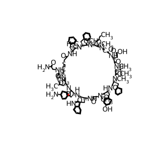 CCCC[C@H]1C(=O)N(C)CC(=O)N[C@@H](CC(=O)O)C(=O)N[C@@H](C(C)C)C(=O)N(C)[C@@H](Cc2ccccc2)C(=O)N[C@@H](Cc2ccc(O)cc2)C(=O)N(C)CC(=O)N[C@@H](Cc2c[nH]c3ccccc23)C(=O)N[C@@H](Cc2ccc(N)cc2)C(=O)N[C@@H](CC(C)C)C(=O)N[C@H](C(=O)NCC(N)=O)CSCC(=O)N[C@@H](Cc2ccccc2)C(=O)N(C)[C@@H](Cc2ccccc2)C(=O)N1C